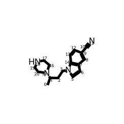 CC(CCn1ccc2cc(C#N)ccc21)N1CCNCC1